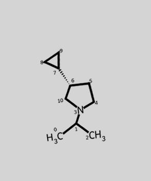 CC(C)N1CC[C@@H](C2CC2)C1